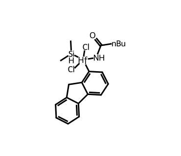 CCCCC(=O)[NH][Hf]([Cl])([Cl])([c]1cccc2c1Cc1ccccc1-2)[SiH](C)C